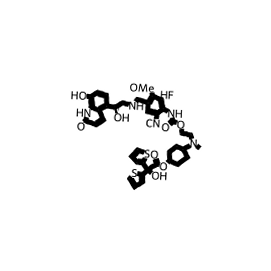 COc1cc(NC(=O)OCCN(C)C2CCC(OC(=O)C(O)(c3cccs3)c3cccs3)CC2)c(C#N)cc1CNC[C@@H](O)c1ccc(O)c2[nH]c(=O)ccc12.F